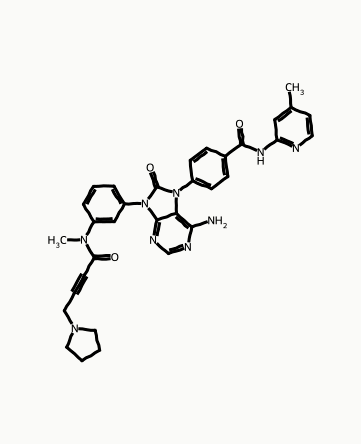 Cc1ccnc(NC(=O)c2ccc(-n3c(=O)n(-c4cccc(N(C)C(=O)C#CCN5CCCC5)c4)c4ncnc(N)c43)cc2)c1